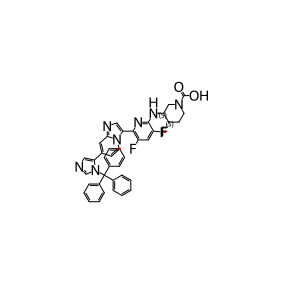 O=C(O)N1CC[C@H](F)[C@@H](Nc2nc(-c3cnc4cc(-c5cncn5C(c5ccccc5)(c5ccccc5)c5ccccc5)ccn34)c(F)cc2F)C1